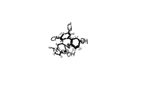 CN1CCCC1CCN(C(=O)O)c1ccc(O)cc1-c1cc(Cl)cc(Cl)c1